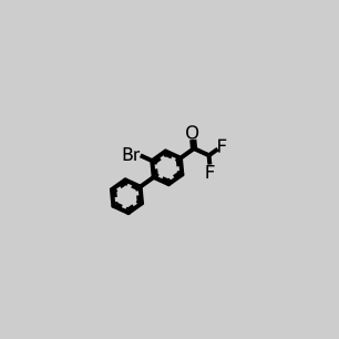 O=C(c1ccc(-c2ccccc2)c(Br)c1)C(F)F